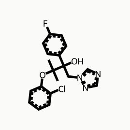 CC(C)(Oc1ccccc1Cl)C(O)(Cn1cncn1)c1ccc(F)cc1